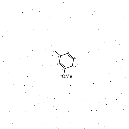 COC1=CC(C)C=CC1